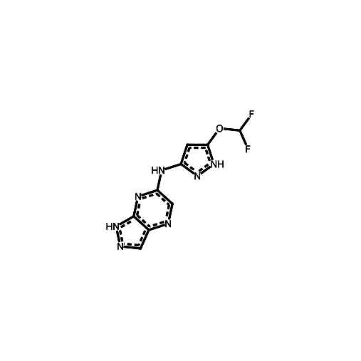 FC(F)Oc1cc(Nc2cnc3cn[nH]c3n2)n[nH]1